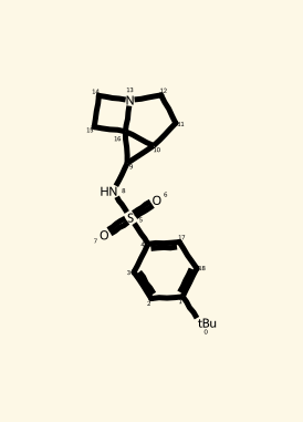 CC(C)(C)c1ccc(S(=O)(=O)NC2C3CCN4CCC324)cc1